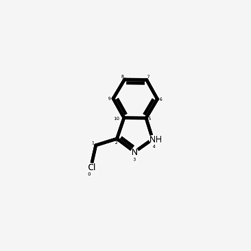 ClCc1n[nH]c2ccccc12